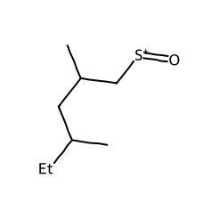 CCC(C)CC(C)C[S+]=O